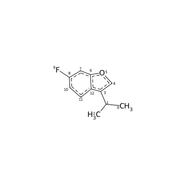 CC(C)c1coc2cc(F)ccc12